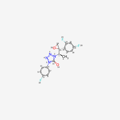 C[C@@H](n1nnn(-c2ccc(F)cc2)c1=O)[C@]1(c2ccc(F)cc2F)CO1